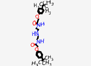 CC(C)(C)c1ccc(OCC(=O)NCCNCCNC(=O)COc2ccc(C(C)(C)C)cc2)cc1